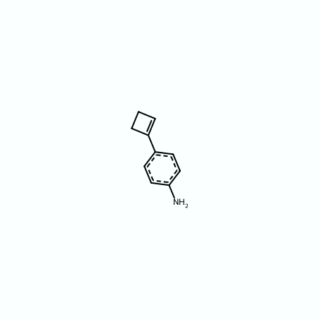 Nc1ccc(C2=CCC2)cc1